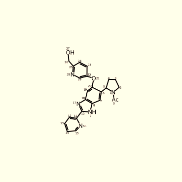 CC(=O)N1CCCC1c1cc2[nH]c(-c3ccccn3)nc2cc1Oc1ccc(CO)nc1